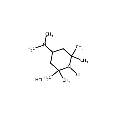 CN(C)C1CC(C)(C)N(Cl)C(C)(C)C1.Cl